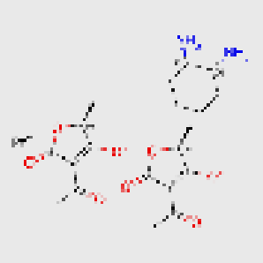 CC(=O)C1=C([O-])[C@H](C)OC1=O.CC(=O)C1=C([O-])[C@H](C)OC1=O.N[C@@H]1CCCC[C@H]1N.[Pt+2]